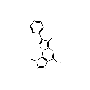 CNc1nc2c(C)c(-c3ccccc3)nn2c2c1ncn2C